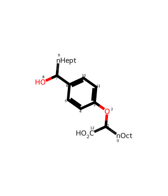 CCCCCCCCC(Oc1ccc(C(O)CCCCCCC)cc1)C(=O)O